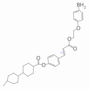 Bc1ccc(OCCOC(=O)/C=C/c2ccc(OC(=O)C3CCC(C4CCC(C)CC4)CC3)cc2)cc1